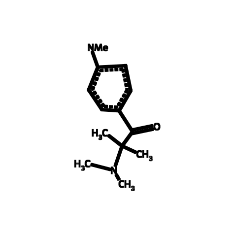 CNc1ccc(C(=O)C(C)(C)N(C)C)cc1